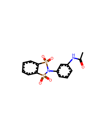 CC(=O)Nc1cccc(N2S(=O)(=O)c3ccccc3S2(=O)=O)c1